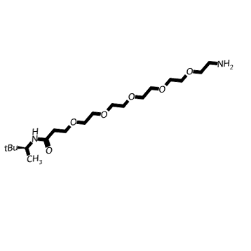 C[C@H](NC(=O)CCOCCOCCOCCOCCOCCN)C(C)(C)C